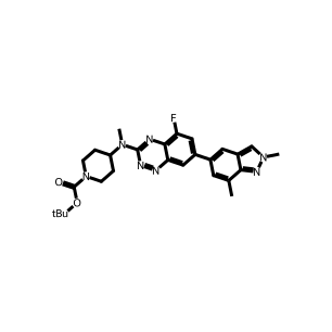 Cc1cc(-c2cc(F)c3nc(N(C)C4CCN(C(=O)OC(C)(C)C)CC4)nnc3c2)cc2cn(C)nc12